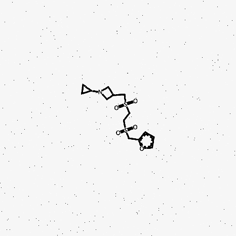 O=S(=O)(CCS(=O)(=O)CC1CN(C2CC2)C1)Cc1ccco1